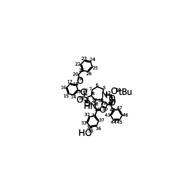 CC(C)(C)OC(=O)N1CCCC(S(=O)(=O)Oc2ccccc2OCc2ccccc2)C(NC(=O)c2ccc(O)cc2)C1OC(=O)c1ccccc1